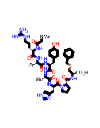 CCC(C)[C@H](NC(=O)[C@H](Cc1ccc(O)cc1)NC(=O)[C@@H](NC(=O)[C@H](CCCNC(=N)N)NC(=O)CNC)C(C)C)C(=O)N[C@@H](Cc1c[nH]cn1)C(=O)N1CCC[C@H]1C(=O)N[C@@H](CSCc1ccccc1)C(=O)O